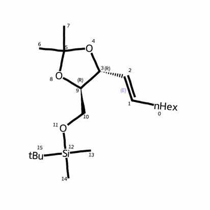 CCCCCC/C=C/[C@H]1OC(C)(C)O[C@@H]1CO[Si](C)(C)C(C)(C)C